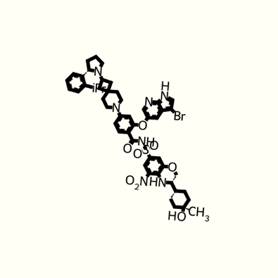 CC(C)c1ccccc1[C@@H]1CCCN1C1CC2(CCN(c3ccc(C(=O)NS(=O)(=O)c4cc5c(c([N+](=O)[O-])c4)N[C@@H]([C@H]4CC[C@](C)(O)CC4)CO5)c(Oc4cnc5[nH]cc(Br)c5c4)c3)CC2)C1